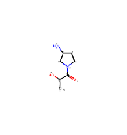 CC(O)C(=O)N1CCC(N)C1